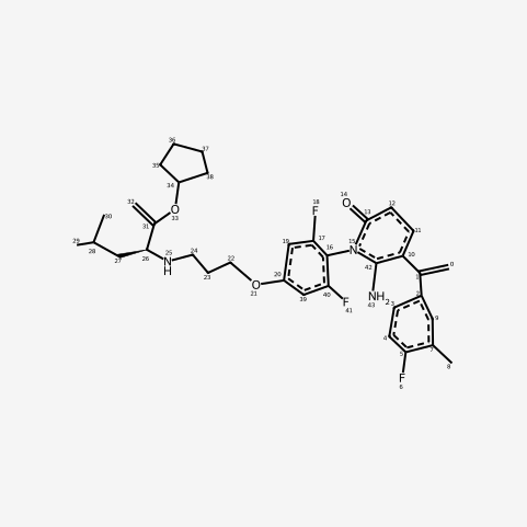 C=C(c1ccc(F)c(C)c1)c1ccc(=O)n(-c2c(F)cc(OCCCN[C@@H](CC(C)C)C(=C)OC3CCCC3)cc2F)c1N